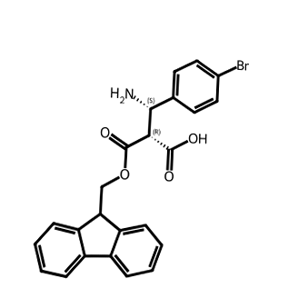 N[C@H](c1ccc(Br)cc1)[C@H](C(=O)O)C(=O)OCC1c2ccccc2-c2ccccc21